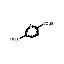 CCOC(=O)c1ccc(C(=O)O)cn1